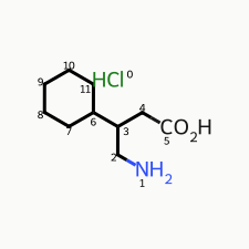 Cl.NCC(CC(=O)O)C1CCCCC1